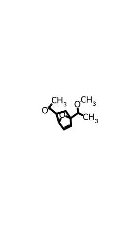 COC(C)C12C=CC(O1)C(C(C)=O)C2